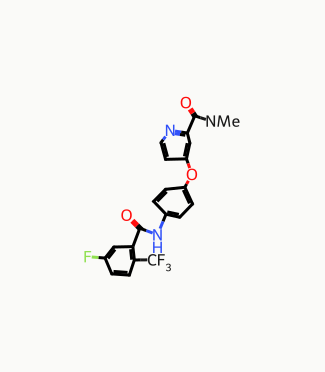 CNC(=O)c1cc(Oc2ccc(NC(=O)c3cc(F)ccc3C(F)(F)F)cc2)ccn1